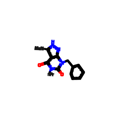 CCCn1c(=O)c2c(NC)[nH]nc2n(Cc2ccccc2)c1=O